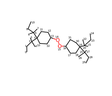 CCC(C)(C)C1(C(C)(C)CC)CCC(OOC2CCC(C(C)(C)CC)(C(C)(C)CC)CC2)CC1